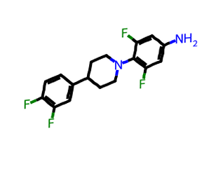 Nc1cc(F)c(N2CCC(c3ccc(F)c(F)c3)CC2)c(F)c1